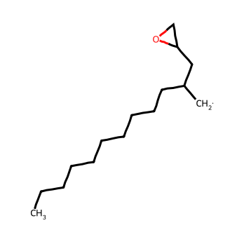 [CH2]C(CCCCCCCCCC)CC1CO1